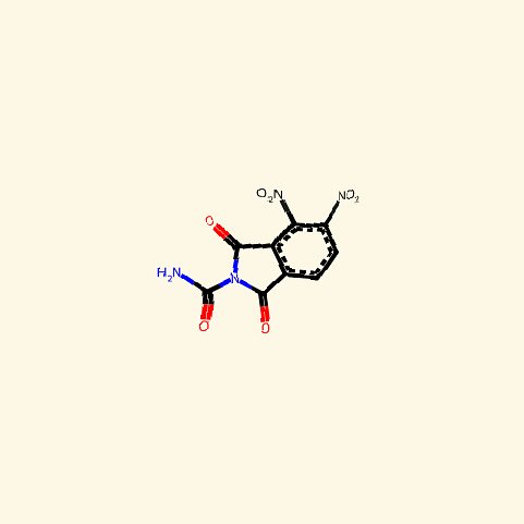 NC(=O)N1C(=O)c2ccc([N+](=O)[O-])c([N+](=O)[O-])c2C1=O